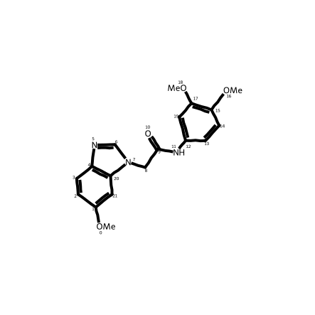 COc1ccc2ncn(CC(=O)Nc3ccc(OC)c(OC)c3)c2c1